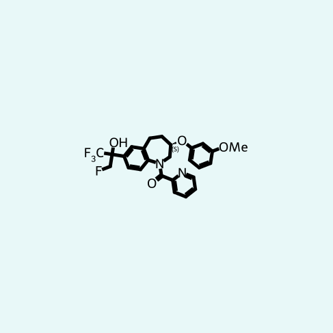 COc1cccc(O[C@H]2CCc3cc(C(O)(CF)C(F)(F)F)ccc3N(C(=O)c3ccccn3)C2)c1